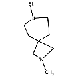 CCN1CCC2(CC1)CN(C)C2